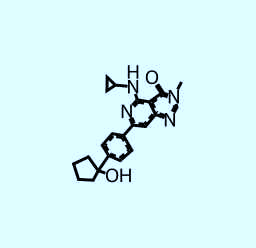 Cn1cnc2cc(-c3ccc(C4(O)CCCC4)cc3)nc(NC3CC3)c2c1=O